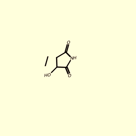 CC.O=C1CC(O)C(=O)N1